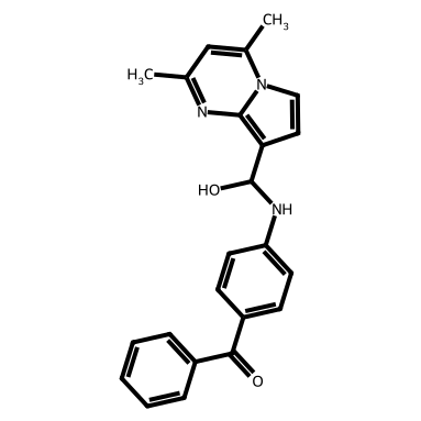 Cc1cc(C)n2ccc(C(O)Nc3ccc(C(=O)c4ccccc4)cc3)c2n1